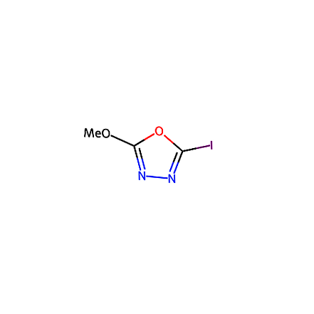 COc1nnc(I)o1